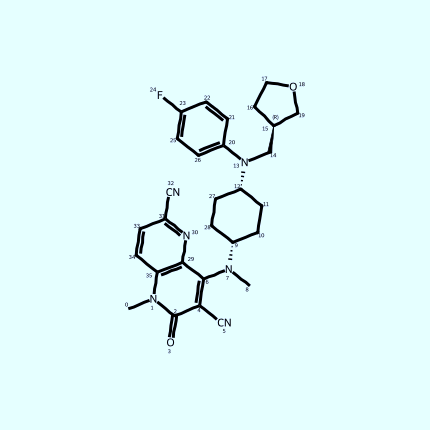 Cn1c(=O)c(C#N)c(N(C)[C@H]2CC[C@@H](N(C[C@H]3CCOC3)c3ccc(F)cc3)CC2)c2nc(C#N)ccc21